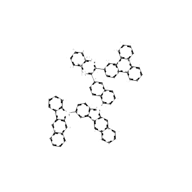 c1ccc2cc3c(cc2c1)c1ccccc1n3-c1ccc2c(c1)c1cc3ccccc3cc1n2-c1cccc2cc(-c3nc4ccccc4nc3-c3ccc4c5ccccc5c5ccccc5c4c3)ccc12